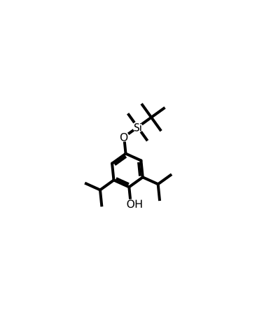 CC(C)c1cc(O[Si](C)(C)C(C)(C)C)cc(C(C)C)c1O